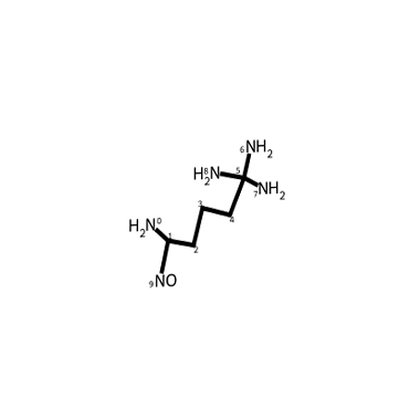 NC(CCCC(N)(N)N)N=O